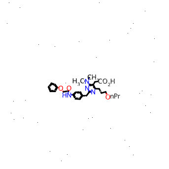 CCCOCCCc1nc(Cc2ccc(NC(=O)COc3ccccc3)cc2)nc(N(C)C)c1CC(=O)O